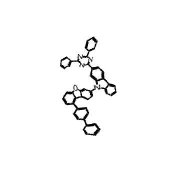 c1ccc(-c2ccc(-c3cccc4oc5cc(-n6c7ccccc7c7ccc(-c8nc(-c9ccccc9)nc(-c9ccccc9)n8)cc76)ccc5c34)cc2)cc1